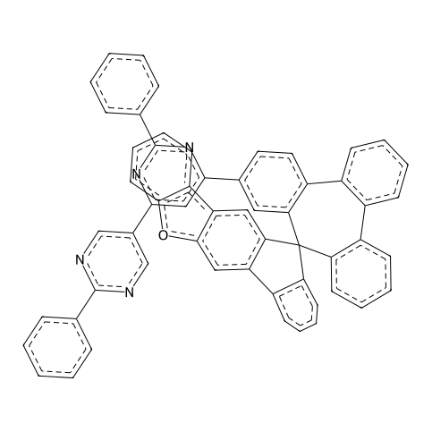 c1ccc(-c2ncc(-c3cc(-c4ccc5c(c4)C4(c6ccccc6-c6ccccc6-5)c5ccccc5-c5cc6oc7ccccc7c6cc54)nc(-c4ccccc4)n3)cn2)cc1